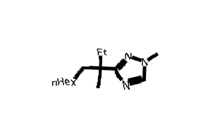 CCCCCCCC(C)(CC)c1ncn(C)n1